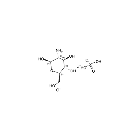 N[C@@H]1[C@@H](O)[C@H](O)[C@@H](CO)O[C@H]1O.O=S(=O)(O)O.[Cl-].[Li+]